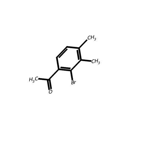 CC(=O)c1ccc(C)c(C)c1Br